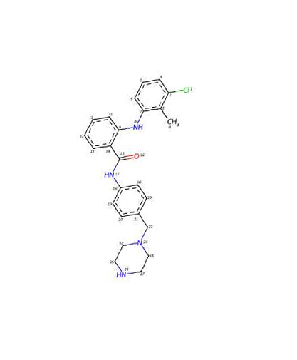 Cc1c(Cl)cccc1Nc1ccccc1C(=O)Nc1ccc(CN2CCNCC2)cc1